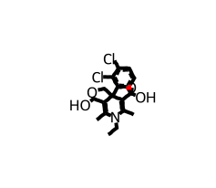 CCN1C(C)=C(C(=O)O)C(CC)(c2cccc(Cl)c2Cl)C(C(=O)O)=C1C